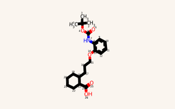 CC(C)(C)OC(=O)Nc1ccccc1OCCCC1CCCCC1C(=O)O